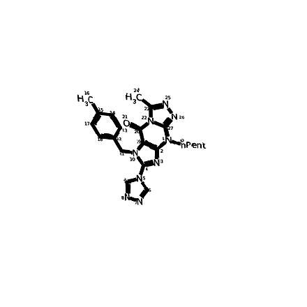 CCCCCn1c2nc(-n3cnnc3)n(Cc3ccc(C)cc3)c2c(=O)n2c(C)nnc12